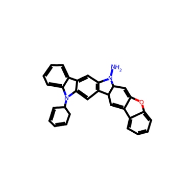 NN1c2cc3c4ccccc4n(C4C=CC=CC4)c3cc2C2C=c3c(oc4ccccc34)=CC21